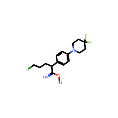 CCOC(=N)C(CCCCl)c1ccc(N2CCC(F)(F)CC2)cc1